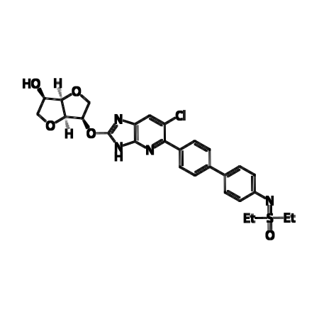 CCS(=O)(CC)=Nc1ccc(-c2ccc(-c3nc4[nH]c(O[C@@H]5CO[C@H]6[C@@H]5OC[C@H]6O)nc4cc3Cl)cc2)cc1